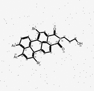 CC(=O)c1ccc2c3c(Br)cc4c5c(ccc(c6c(Br)cc(C(C)=O)c1c26)c53)C(=O)N(CCCO)C4=O